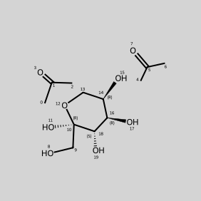 CC(C)=O.CC(C)=O.OC[C@@]1(O)OC[C@@H](O)[C@@H](O)[C@@H]1O